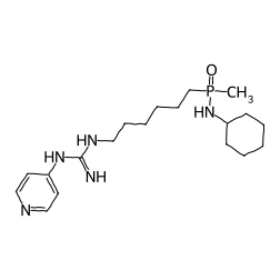 CP(=O)(CCCCCCNC(=N)Nc1ccncc1)NC1CCCCC1